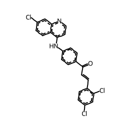 O=C(C=Cc1ccc(Cl)cc1Cl)c1ccc(Nc2ccnc3cc(Cl)ccc23)cc1